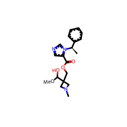 COC(O)C1(COC(=O)c2cncn2[C@H](C)c2ccccc2)CN(C)C1